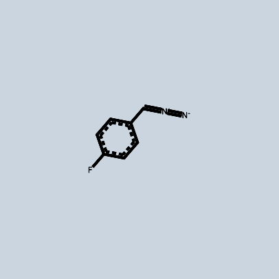 [N-]=[N+]=Cc1ccc(F)cc1